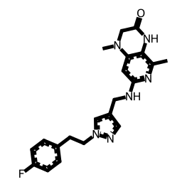 Cc1nc(NCc2cnn(CCc3ccc(F)cc3)c2)cc2c1NC(=O)CN2C